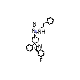 Cn1c(C2(c3ccccc3)CCN(/C(=N/C#N)NCCCc3ccccc3)CC2)nc2cc(F)ccc21